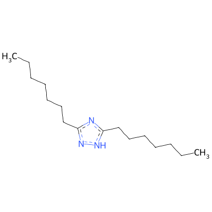 CCCCCCCc1n[nH]c(CCCCCCC)n1